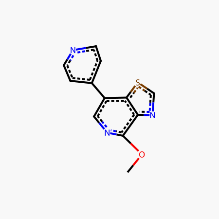 COc1ncc(-c2ccncc2)c2scnc12